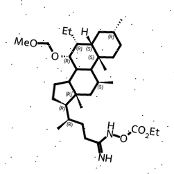 CCOC(=O)ONC(=N)CC[C@@H](C)[C@H]1CCC2C3C([C@@H](C)C[C@@]21C)[C@@]1(C)CC[C@@H](C)C[C@H]1[C@@H](CC)[C@H]3OCOC